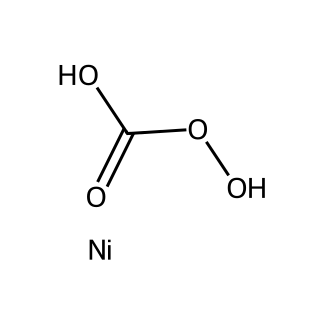 O=C(O)OO.[Ni]